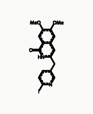 COc1cc2cc(Cc3ccc(I)nc3)[nH]c(=O)c2cc1OC